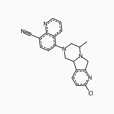 CC1CN(c2ccc(C#N)c3ncccc23)CC2c3ccc(Cl)nc3CN12